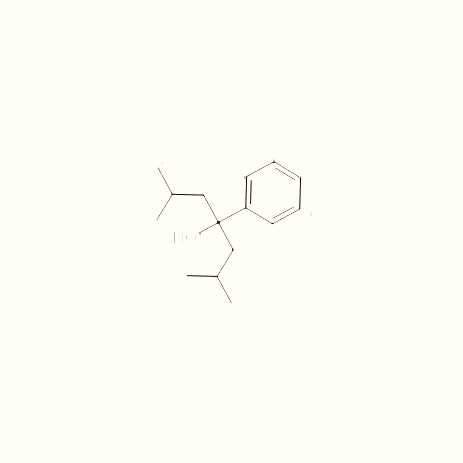 CC(C)CC(O)(CC(C)C)c1ccccc1